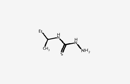 CCC(C)NC(=S)NN